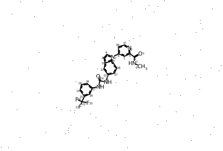 CNC(=O)c1cc(-n2ccc3cc(NC(=O)Nc4cccc(C(F)(F)F)c4)ccc32)ccn1